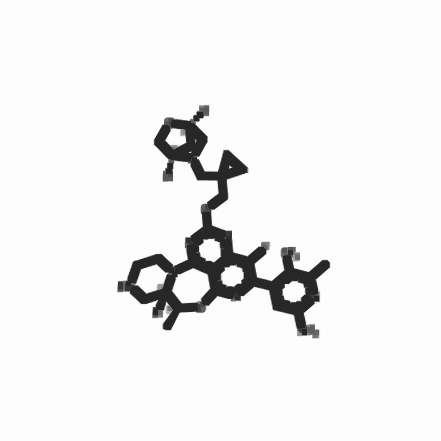 Cc1nc(N)cc(-c2nc3c4c(nc(OCC5(CN6C[C@H]7C[C@@H]6CO7)CC5)nc4c2F)N2CCNC[C@H]2[C@H](C)O3)c1C(F)(F)F